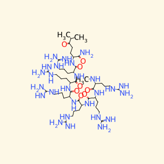 CNC(CCCNC(=N)N)C(=O)NC(CCCNC(=N)N)C(=O)NC(CCCNC(=N)N)C(=O)NC(CCCNC(=N)N)C(=O)NC(CCCNC(=N)N)C(=O)NC(CCCNC(=N)N)C(=O)NC(CCC(=O)C(C)C)C(N)=O